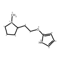 CN1CCCC1CCOc1ccc[nH]1